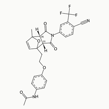 CC(=O)Nc1ccc(OCCC23C=CC(C)(O2)[C@@H]2C(=O)N(c4ccc(C#N)c(C(F)(F)F)c4)C(=O)[C@@H]23)cc1